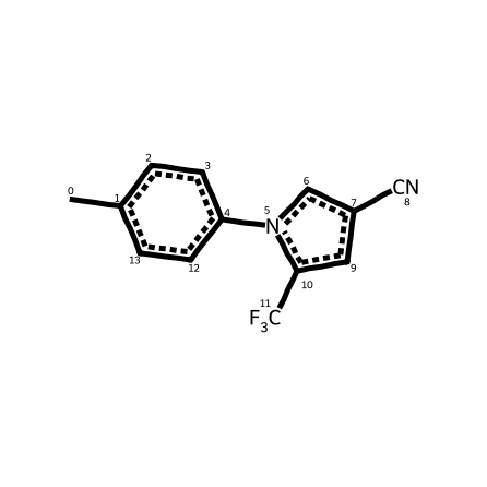 Cc1ccc(-n2cc(C#N)cc2C(F)(F)F)cc1